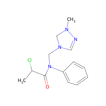 CC(Cl)C(=O)N(CN1C=NN(C)C1)c1ccccc1